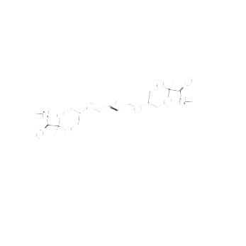 CN(C)C(=O)C1(C)OCC(OC/C=C/COC2COC(C)(C(=O)N(C)C)OC2)CO1